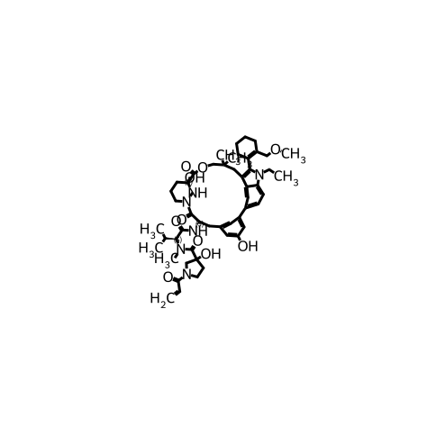 C=CC(=O)N1CCC(O)(C(=O)N(C)[C@H](C(=O)N[C@H]2Cc3cc(O)cc(c3)-c3ccc4c(c3)c(c(C3=C(COC)CCCC3)n4CC)CC(C)(C)COC(=O)[C@@]3(O)CCCN(N3)C2=O)C(C)C)C1